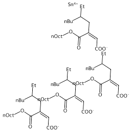 CCCCCCCCOC(=O)/C(=C\C(=O)[O-])CC(CC)CCCC.CCCCCCCCOC(=O)/C(=C\C(=O)[O-])CC(CC)CCCC.CCCCCCCCOC(=O)/C(=C\C(=O)[O-])CC(CC)CCCC.CCCCCCCCOC(=O)/C(=C\C(=O)[O-])CC(CC)CCCC.[Sn+4]